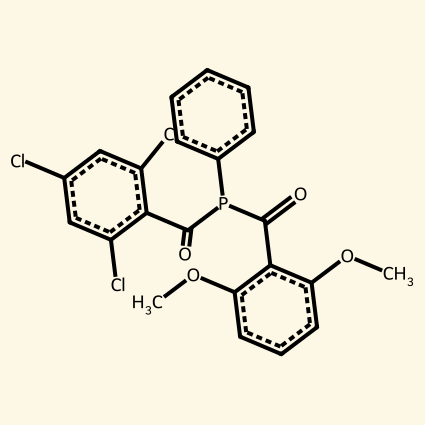 COc1cccc(OC)c1C(=O)P(C(=O)c1c(Cl)cc(Cl)cc1Cl)c1ccccc1